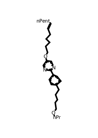 CCCCCC=CCCCCCOc1cnc(-c2ccc(CCCCCOCCC)cc2)nc1